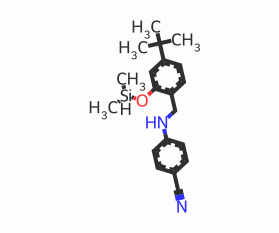 C[SiH](C)Oc1cc(C(C)(C)C)ccc1CNc1ccc(C#N)cc1